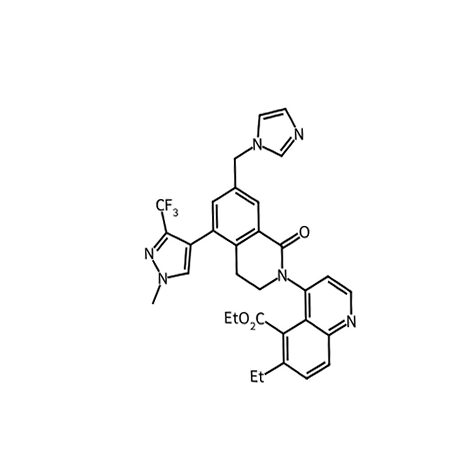 CCOC(=O)c1c(CC)ccc2nccc(N3CCc4c(cc(Cn5ccnc5)cc4-c4cn(C)nc4C(F)(F)F)C3=O)c12